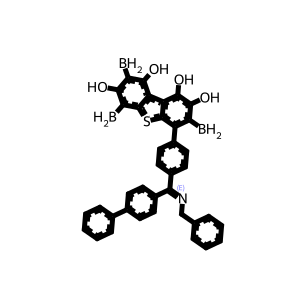 Bc1c(O)c(O)c2c(sc3c(B)c(O)c(B)c(O)c32)c1-c1ccc(/C(=N/Cc2ccccc2)c2ccc(-c3ccccc3)cc2)cc1